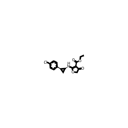 CCOC(=O)C1=C(N[C@@H]2C[C@H]2c2ccc(Cl)cc2)OCC1=O